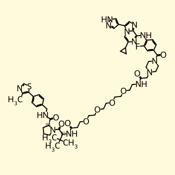 Cc1ncsc1-c1ccc(CNC(=O)[C@@H]2CCCN2C(=O)[C@@H](NC(=O)CCOCCOCCOCCOCCNC(=O)CN2CCN(C(=O)c3ccc(Nc4nc(C5CC5)cn5c(-c6cn[nH]c6)cnc45)c(F)c3)CC2)C(C)(C)C)cc1